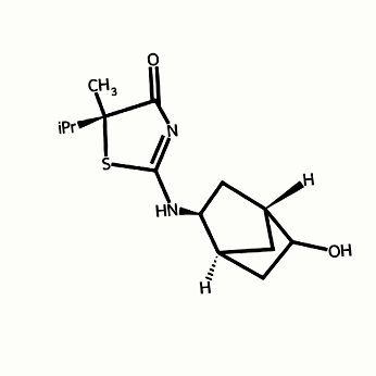 CC(C)[C@]1(C)SC(N[C@H]2C[C@H]3C[C@H]2CC3O)=NC1=O